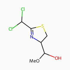 COC(O)C1CSC(C(Cl)Cl)=N1